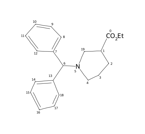 CCOC(=O)C1CCCN(C(c2ccccc2)c2ccccc2)C1